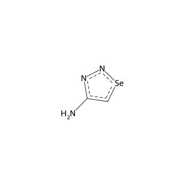 Nc1c[se]nn1